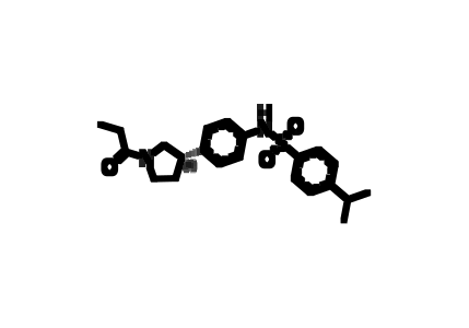 CCC(=O)N1CC[C@@H](c2ccc(NS(=O)(=O)c3ccc(C(C)C)cc3)cc2)C1